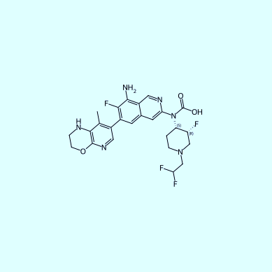 Cc1c(-c2cc3cc(N(C(=O)O)[C@H]4CCN(CC(F)F)C[C@H]4F)ncc3c(N)c2F)cnc2c1NCCO2